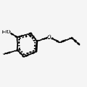 CCCOc1ccc(C)c(O)c1